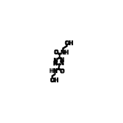 O=C(NCCO)c1nnc(C(=O)NCCO)nn1